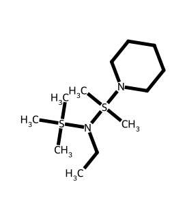 CCN(S(C)(C)C)S(C)(C)N1CCCCC1